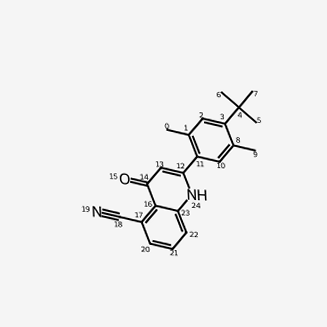 Cc1cc(C(C)(C)C)c(C)cc1-c1cc(=O)c2c(C#N)cccc2[nH]1